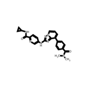 CN(C)C(=O)c1ccc(-c2cccn3nc(Nc4ccc(C(=O)NC5CC5)nc4)nc23)cc1